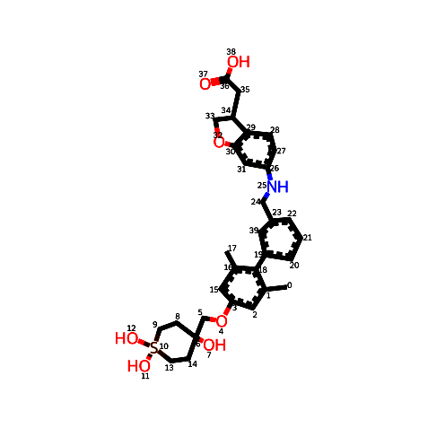 Cc1cc(OCC2(O)CCS(O)(O)CC2)cc(C)c1-c1cccc(CNc2ccc3c(c2)OCC3CC(=O)O)c1